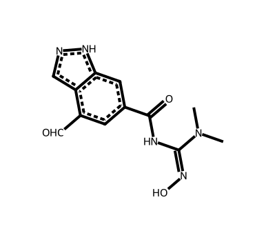 CN(C)/C(=N/O)NC(=O)c1cc(C=O)c2cn[nH]c2c1